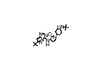 CC(C)(C)N[C@H]1CC[C@@H](N2CCC(Nc3ncnc4cc(C(C)(C)C)nn34)C2=O)CC1